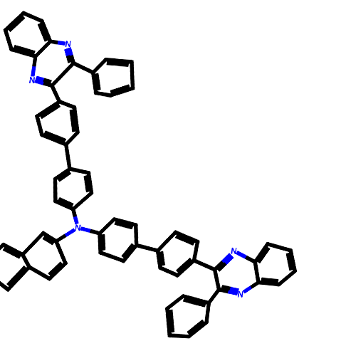 c1ccc(-c2nc3ccccc3nc2-c2ccc(-c3ccc(N(c4ccc(-c5ccc(-c6nc7ccccc7nc6-c6ccccc6)cc5)cc4)c4ccc5ccccc5c4)cc3)cc2)cc1